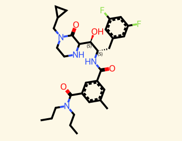 CCCN(CCC)C(=O)c1cc(C)cc(C(=O)N[C@@H](Cc2cc(F)cc(F)c2)[C@H](O)C2NCCN(CC3CC3)C2=O)c1